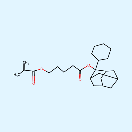 C=C(C)C(=O)OCCCCC(=O)OC1(C2CCCCC2)C2CC3CC(C2)CC1C3